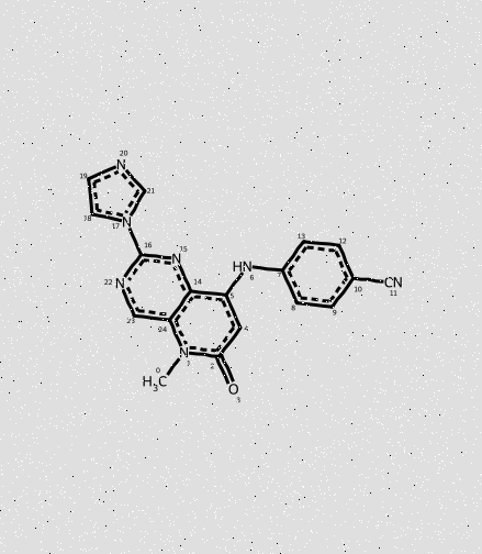 Cn1c(=O)cc(Nc2ccc(C#N)cc2)c2nc(-n3ccnc3)ncc21